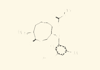 CCCOC(=O)O[C@H]1CCC[C@H](N)C(=O)O[C@@H](C)[C@@H]1Oc1cc(C)cc(C)c1